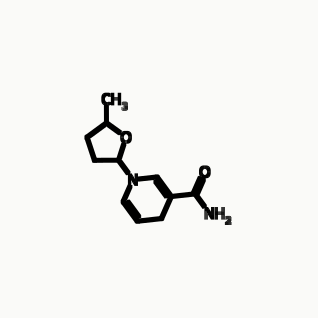 CC1CCC(N2C=CCC(C(N)=O)=C2)O1